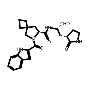 O=C[C@H](C[C@@H]1CCNC1=O)NC(=O)[C@@H]1CC2(CCC2)CN1C(=O)c1cc2ccccc2[nH]1